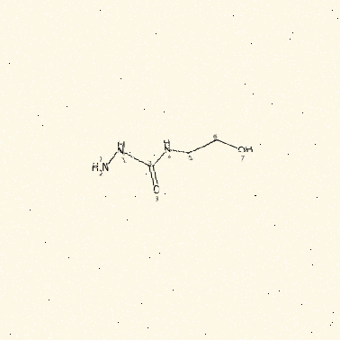 NNC(=O)NCCO